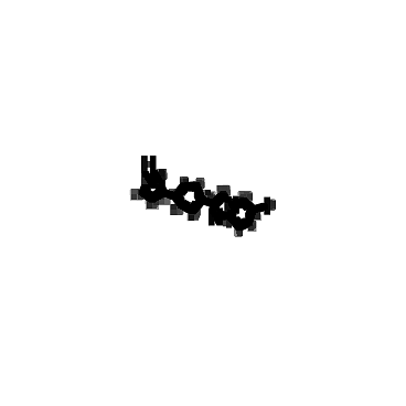 Ic1ccc2nc(-c3ccc(-c4cc[nH]n4)cc3)cn2c1